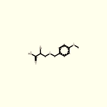 COc1ccc(CSCC(Br)C(=O)O)cc1